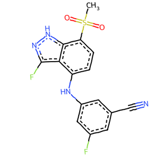 CS(=O)(=O)c1ccc(Nc2cc(F)cc(C#N)c2)c2c(F)n[nH]c12